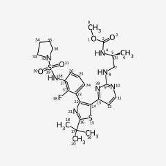 COC(=O)N[C@@H](C)CNc1nccc(-c2sc(C(C)(C)C)nc2-c2cccc(NS(=O)(=O)N3CCCC3)c2F)n1